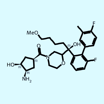 COCCCC[C@](O)(c1cccc(F)c1-c1ccc(F)c(C)c1)C1CN(C(=O)[C@H]2C[C@@H](N)[C@@H](O)C2)CCO1